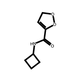 O=C(NC1CCC1)C1=CCOO1